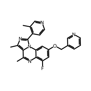 Cc1cnccc1-c1nc(C)c2c(C)nc3c(F)cc(OCc4cccnc4)cc3n12